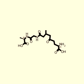 CC(CC(=O)CC[C@H](N)C(=O)O)CC(=O)NCC(=O)N[C@H](C)C(=O)O